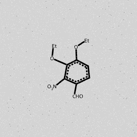 CCOc1ccc(C=O)c([N+](=O)[O-])c1OCC